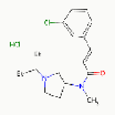 CCC(CC)N1CCC(N(C)C(=O)C=Cc2cccc(Cl)c2)C1.Cl